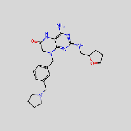 Nc1nc(NCC2CCCO2)nc2c1NC(=O)CN2Cc1cccc(CN2CCCC2)c1